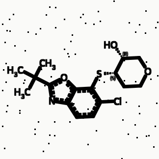 CC(C)(C)c1nc2ccc(Cl)c(S[C@H]3CCOC[C@H]3O)c2o1